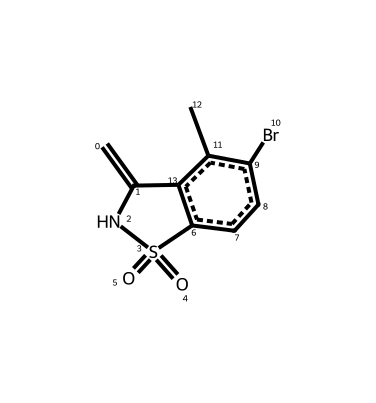 C=C1NS(=O)(=O)c2ccc(Br)c(C)c21